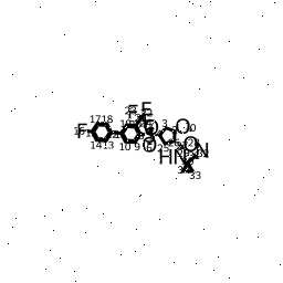 CO[C@@H]1C[C@H](S(=O)(=O)c2ccc(-c3ccc(F)cc3)cc2C(F)(F)F)C[C@H]1C(=O)NC1(C#N)CC1